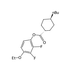 CCCC[C@H]1CC[C@H](C(=O)Oc2ccc(OCC)c(F)c2F)CC1